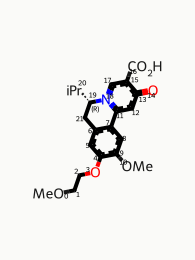 COCCOc1cc2c(cc1OC)-c1cc(=O)c(C(=O)O)cn1[C@@H](C(C)C)C2